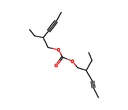 CC#CC(CC)COC(=O)OCC(C#CC)CC